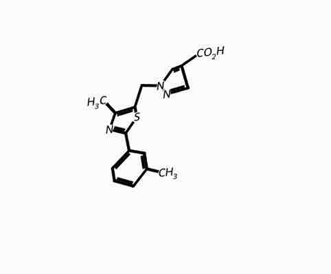 Cc1cccc(-c2nc(C)c(Cn3cc(C(=O)O)cn3)s2)c1